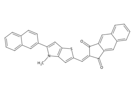 Cn1c(-c2ccc3ccccc3c2)cc2sc(C=C3C(=O)c4cc5ccccc5cc4C3=O)cc21